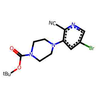 CC(C)(C)OC(=O)N1CCN(c2cc(Br)cnc2C#N)CC1